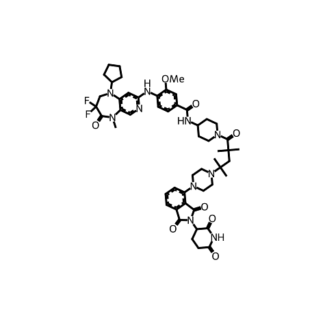 COc1cc(C(=O)NC2CCN(C(=O)C(C)(C)CC(C)(C)N3CCN(c4cccc5c4C(=O)N(C4CCC(=O)NC4=O)C5=O)CC3)CC2)ccc1Nc1cc2c(cn1)N(C)C(=O)C(F)(F)CN2C1CCCC1